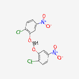 O=[N+]([O-])c1ccc(Cl)c(OBOc2cc([N+](=O)[O-])ccc2Cl)c1